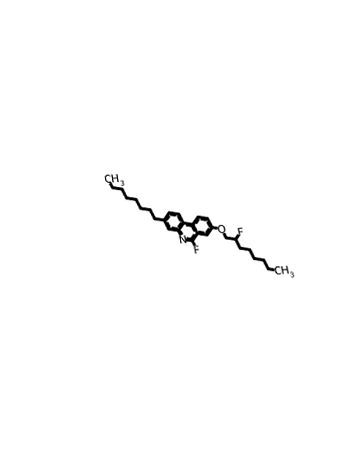 CCCCCCCCc1ccc2c(c1)nc(F)c1cc(OCC(F)CCCCCC)ccc12